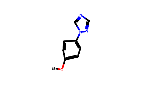 [CH2]COc1ccc(-n2cncn2)cc1